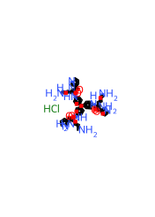 Cl.NCCCC[C@](N)(C(=O)Nc1ccc(C(c2ccc(NC(=O)[C@@](N)(CCCCN)C(=O)c3cccnc3)cc2)c2ccc(NC(=O)[C@@](N)(CCCCN)C(=O)c3cccnc3)cc2)cc1)C(=O)c1cccnc1